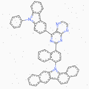 c1ccc(-n2c3ccccc3c3cc(-c4nc(-c5ccc(-n6c7cc8ccccc8cc7c7ccc8ccccc8c76)c6ccccc56)nc5nccnc45)ccc32)cc1